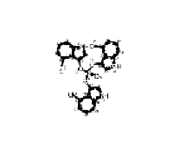 O=P(Oc1c[nH]c2cccc(Cl)c12)(Oc1c[nH]c2cccc(Cl)c12)Oc1c[nH]c2cccc(Cl)c12